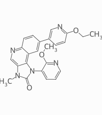 CCOc1ccc(-c2ccc3ncc4c(c3c2)n(-c2cccnc2OC)c(=O)n4C)cn1